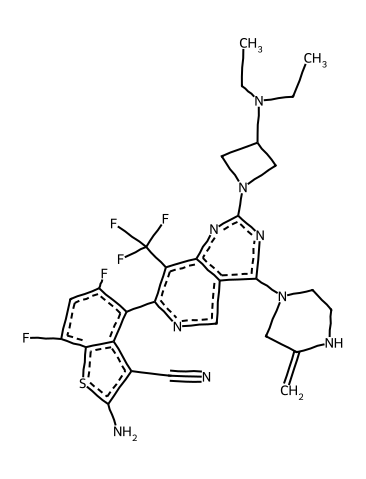 C=C1CN(c2nc(N3CC(N(CC)CC)C3)nc3c(C(F)(F)F)c(-c4c(F)cc(F)c5sc(N)c(C#N)c45)ncc23)CCN1